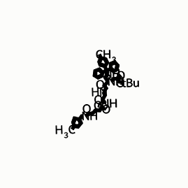 Cc1ccc(CNC(=O)CCCS(=O)(=O)NC(=O)CNCC(=O)C(CNC(c2ccccc2)(c2ccccc2)c2ccc(C)cc2)NCC(=O)OC(C)(C)C)cc1